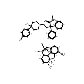 CN(C)C(=O)C(CCN1CCC(O)(c2ccc(Cl)cc2)CC1)(c1ccccc1)c1ccccc1.CN1CC[C@]23c4c5ccc(O)c4O[C@H]2[C@@H](O)C=C[C@H]3[C@H]1C5